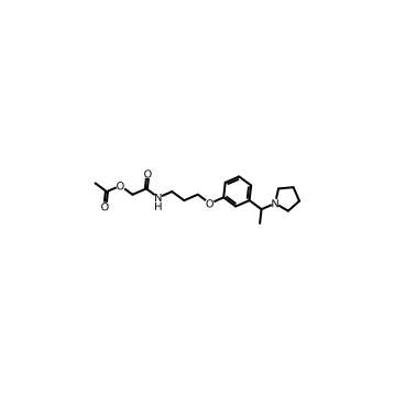 CC(=O)OCC(=O)NCCCOc1cccc(C(C)N2CCCC2)c1